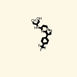 CCC(CO)Nc1ccn2ncc(-c3ccc(C(F)(F)F)cc3)c2n1